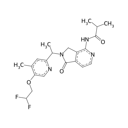 Cc1cc(C(C)N2Cc3c(ccnc3NC(=O)C(C)C)C2=O)ncc1OCC(F)F